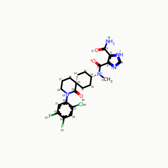 CN(C(=O)c1nc[nH]c1C(N)=O)[C@H]1CC[C@]2(CCCN(c3cc(F)c(F)cc3Cl)C2=O)CC1